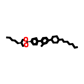 CCCCCCCC1CCC(c2ccc(-c3ccc([C@H]4OC[C@H](CCCCC)CO4)cc3)c(C)c2)CC1